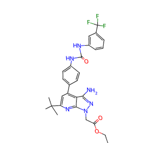 CCOC(=O)Cn1nc(N)c2c(-c3ccc(NC(=O)Nc4cccc(C(F)(F)F)c4)cc3)cc(C(C)(C)C)nc21